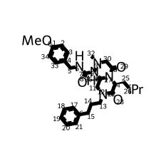 COc1ccc(CNC(=O)N2[C@H]3CN(CCCc4ccccc4)C(=O)[C@H](CC(C)C)N3C(=O)CN2C)cc1